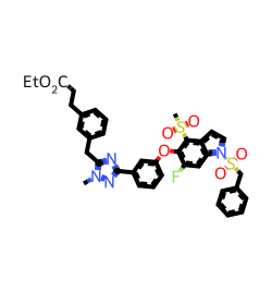 CCOC(=O)CCc1cccc(Cc2nc(-c3cccc(Oc4c(F)cc5c(ccn5S(=O)(=O)Cc5ccccc5)c4S(C)(=O)=O)c3)nn2C)c1